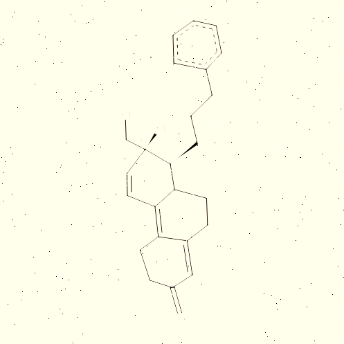 CC[C@@]1(C)C=CC2=C3CCC(=O)C=C3CCC2[C@@H]1CCCc1ccccc1